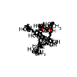 CC(C)(CCCCCCc1cc(O)c(O)c(CCCCC2(C(=O)O)CC2)c1OOc1cc(CCCCC2(C(=O)O)CC2)c(Oc2cc(CCCCCC3(C(=O)O)CC3)cc(CCCCC3(C(=O)O)CC3)c2O)c(CCCCCCC(C)(C)C(=O)O)c1O)C(=O)O